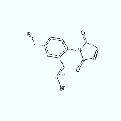 O=C1C=CC(=O)N1c1ccc(CBr)cc1/C=C/Br